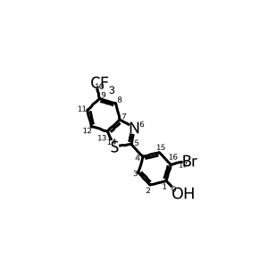 Oc1ccc(-c2nc3cc(C(F)(F)F)ccc3s2)cc1Br